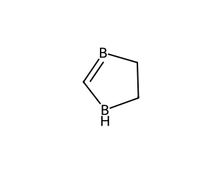 B1=CBCC1